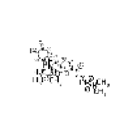 CN(C)S(=O)(=O)NCCC(=O)N1CCC([C@@H](Cc2cc(F)c(F)cc2F)N[S@@+]([O-])C(C)(C)C)CC1